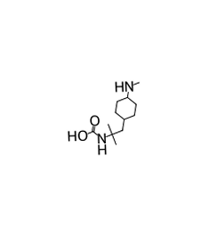 CNC1CCC(CC(C)(C)NC(=O)O)CC1